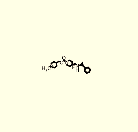 CN1CCC(COC(=O)N2CCC(F)(CNC3CC3c3ccccc3)CC2)CC1